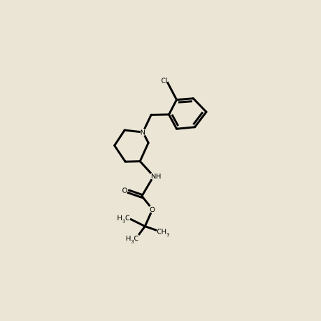 CC(C)(C)OC(=O)NC1CCCN(Cc2ccccc2Cl)C1